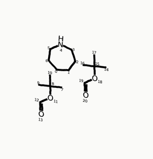 C1CCCNCC1.CC(C)(C)OC=O.CC(C)(C)OC=O